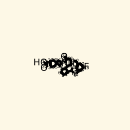 CC(C)c1ccccc1C1CN(Cc2cc(F)cc(F)c2)CC(=O)N1C1CC2(CCN(C(=O)O)CC2)C1